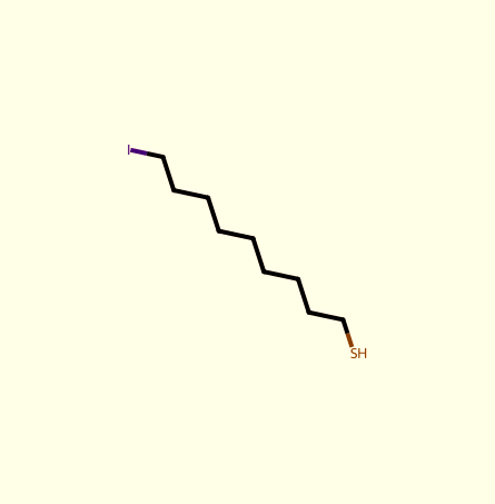 SCCCCCCCCCI